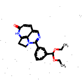 CCOC(OCC)c1cccc(C2=NC=C3C=CC(=O)NC4=C3N2CC4)c1